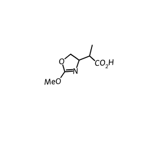 COC1=NC(C(C)C(=O)O)CO1